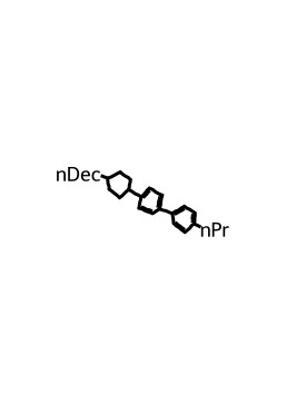 CCCCCCCCCCC1CCC(c2ccc(-c3ccc(CCC)cc3)cc2)CC1